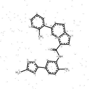 Cc1nc(-c2ccc(C)c(NC(=O)c3cnc4ccc(-c5cccnc5C)cn34)c2)no1